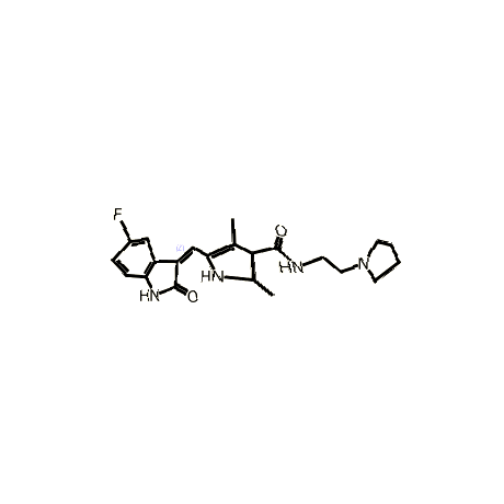 CC1=C(/C=C2\C(=O)Nc3ccc(F)cc32)NC(C)C1C(=O)NCCN1CCCC1